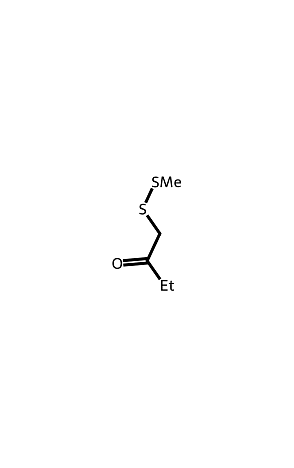 CCC(=O)CSSC